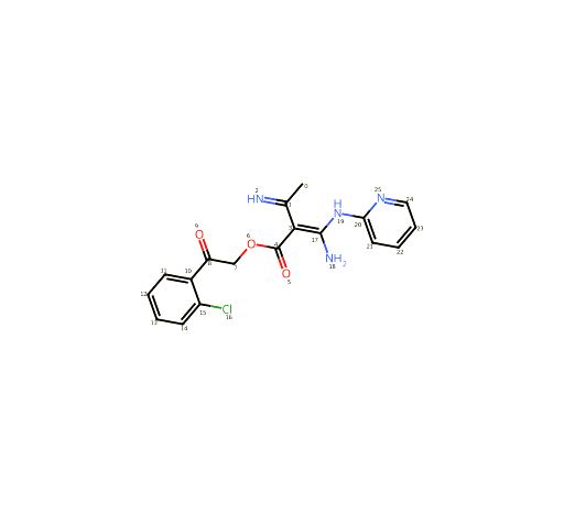 CC(=N)/C(C(=O)OCC(=O)c1ccccc1Cl)=C(/N)Nc1ccccn1